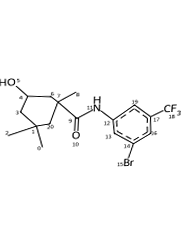 CC1(C)CC(O)CC(C)(C(=O)Nc2cc(Br)cc(C(F)(F)F)c2)C1